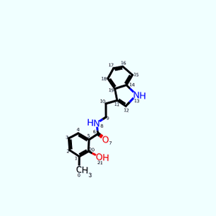 Cc1cccc(C(=O)NCCc2c[nH]c3ccccc23)c1O